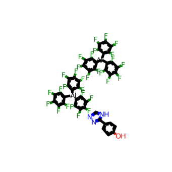 Fc1c(F)c(F)[c]([Al]([c]2c(F)c(F)c(F)c(F)c2F)[c]2c(F)c(F)c(F)c(F)c2F)c(F)c1F.Fc1c(F)c(F)[c]([Al]([c]2c(F)c(F)c(F)c(F)c2F)[c]2c(F)c(F)c(F)c(F)c2F)c(F)c1F.Oc1ccc(-c2nnc[nH]2)cc1